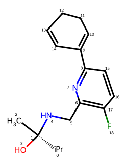 CC(C)[C@@](C)(O)NCc1nc(C2=C[CH]CC=C2)ccc1F